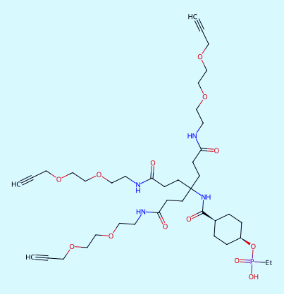 C#CCOCCOCCNC(=O)CCC(CCC(=O)NCCOCCOCC#C)(CCC(=O)NCCOCCOCC#C)NC(=O)[C@H]1CC[C@@H](OP(=O)(O)CC)CC1